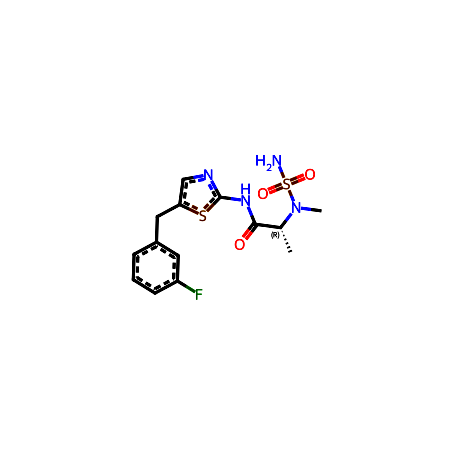 C[C@H](C(=O)Nc1ncc(Cc2cccc(F)c2)s1)N(C)S(N)(=O)=O